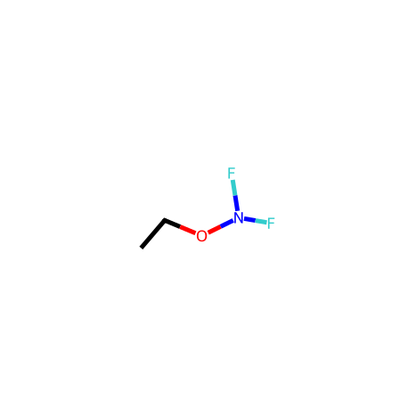 CCON(F)F